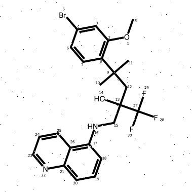 COc1cc(Br)ccc1C(C)(C)CC(O)(CNc1cccc2ncccc12)C(F)(F)F